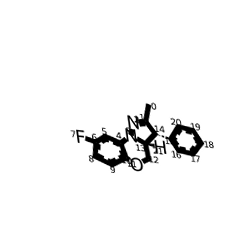 CC1=NN2c3cc(F)ccc3OC[C@H]2[C@H]1c1ccccc1